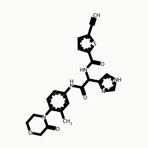 C#Cc1ccc(C(=O)NC(C(=O)Nc2ccc(N3CCOCC3=O)c(C)c2)c2c[nH]cn2)s1